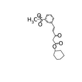 CS(=O)(=O)c1cccc(C=CC(=O)CC(=O)OC2CCCCC2)c1